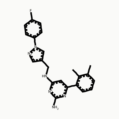 Cc1cccc(-c2cc(NCc3cnn(-c4ccc(F)cc4)c3)nc(N)n2)c1C